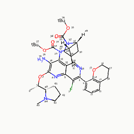 C[C@H](Oc1nc2c(F)c(-c3cccc4c3OCCC4)ncc2c(N(C(=O)OC(C)(C)C)[C@H]2[C@@H]3C[C@H]2N(C(=O)OC(C)(C)C)C3)c1N)[C@@H]1CCCN1C